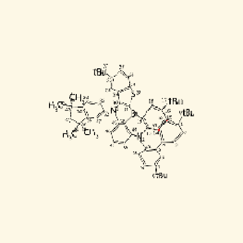 CC(C)(C)c1ccc(-c2cc(C(C)(C)C)ccc2N2c3ccc(C(C)(C)C)cc3B3c4sc5ccc(C(C)(C)C)cc5c4N(c4ccc5c(c4)C(C)(C)CC5(C)C)c4cccc2c43)cc1